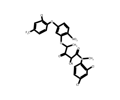 CC(Oc1cc(Oc2ccc(C(F)(F)F)cc2Cl)ccc1[N+](=O)[O-])C(=O)C(C#N)C(=O)N(C)c1ccc(Cl)cc1Cl